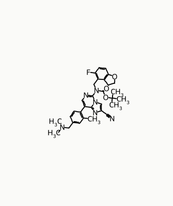 Cc1cc(CN(C)C)ccc1-c1cnc(N(Cc2c(F)ccc3c2CCO3)C(=O)OC(C)(C)C)n2cc(C#N)nc12